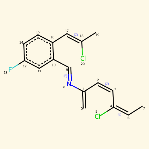 C=C(/C=C\C(Cl)=C/C)/N=C/c1cc(F)ccc1/C=C(/C)Cl